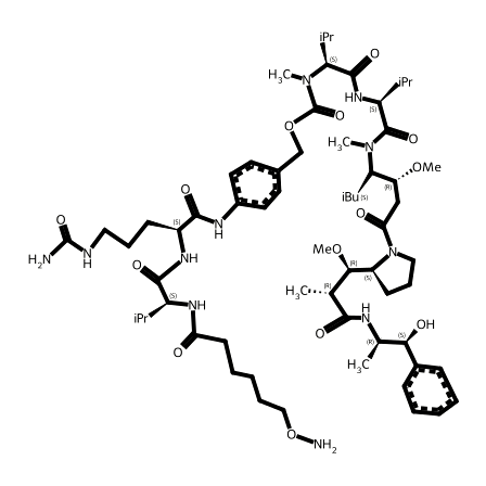 CC[C@H](C)C([C@@H](CC(=O)N1CCC[C@H]1[C@H](OC)[C@@H](C)C(=O)N[C@H](C)[C@@H](O)c1ccccc1)OC)N(C)C(=O)[C@@H](NC(=O)[C@H](C(C)C)N(C)C(=O)OCc1ccc(NC(=O)[C@H](CCCNC(N)=O)NC(=O)[C@@H](NC(=O)CCCCCON)C(C)C)cc1)C(C)C